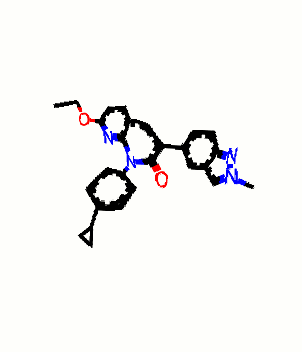 CCOc1ccc2cc(-c3ccc4nn(C)cc4c3)c(=O)n(-c3ccc(C4CC4)cc3)c2n1